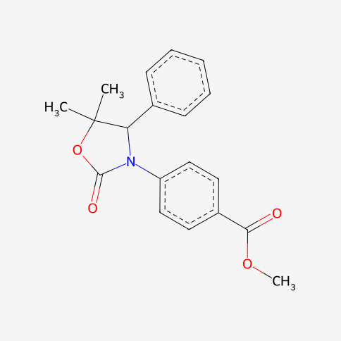 COC(=O)c1ccc(N2C(=O)OC(C)(C)C2c2ccccc2)cc1